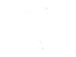 CC(=O)OC1c2cccc3c2c(cn3C)CCC1N